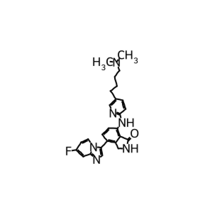 CN(C)CCCCc1ccc(Nc2ccc(-c3cnc4cc(F)ccn34)c3c2C(=O)NC3)nc1